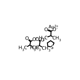 C1CCSC1.CC(C)C(=O)[O-].CC(C)C(=O)[O-].CC(C)C(=O)[O-].[Au+3]